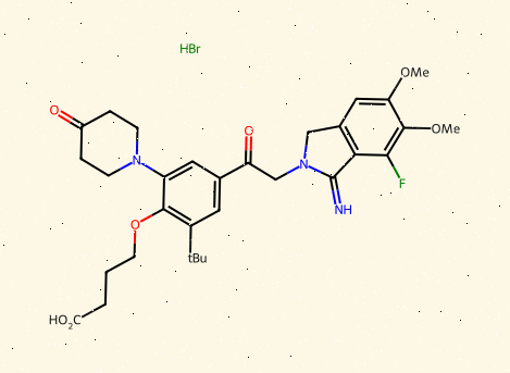 Br.COc1cc2c(c(F)c1OC)C(=N)N(CC(=O)c1cc(N3CCC(=O)CC3)c(OCCCC(=O)O)c(C(C)(C)C)c1)C2